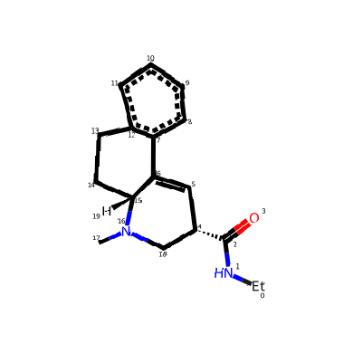 CCNC(=O)[C@H]1C=C2c3ccccc3CC[C@H]2N(C)C1